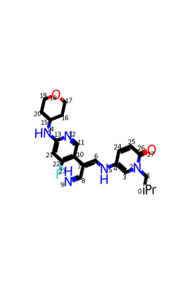 CC(C)Cn1cc(N/C=C(\C=N)c2cnc(NC3CCOCC3)cc2F)ccc1=O